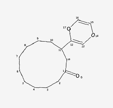 O=C1CCCCCCCCCC(C2=COC=CO2)C1